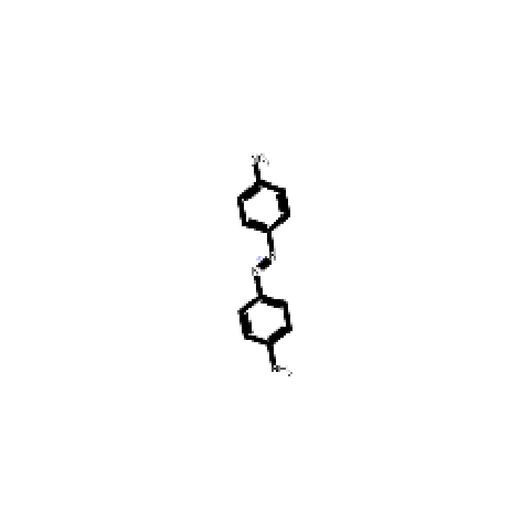 Nc1ccc(/N=N/c2ccc([N+](=O)[O-])cc2)cc1